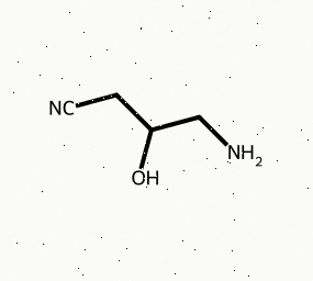 N#CCC(O)CN